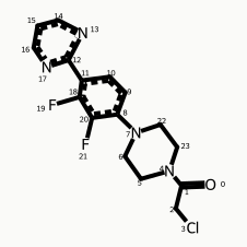 O=C(CCl)N1CCN(c2ccc(-c3ncccn3)c(F)c2F)CC1